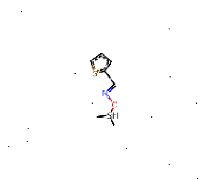 C[SiH](C)ON=Cc1cccs1